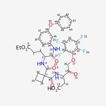 CCOC(=O)CCC(NC(=O)C1(C(=O)NC(CC(=O)O)C(=O)COc2c(F)c(F)cc(F)c2F)CCC1)C(=O)Nc1cccc(Oc2ccccc2)c1